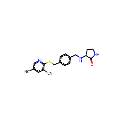 N#Cc1cnc(SCc2ccc(CNC3CCNC3=O)cc2)c(C#N)c1